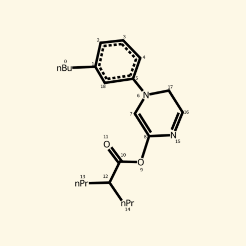 CCCCc1cccc(N2C=C(OC(=O)C(CCC)CCC)N=CC2)c1